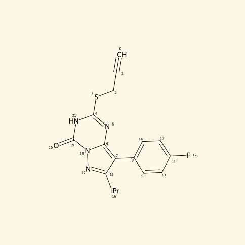 C#CCSc1nc2c(-c3ccc(F)cc3)c(C(C)C)nn2c(=O)[nH]1